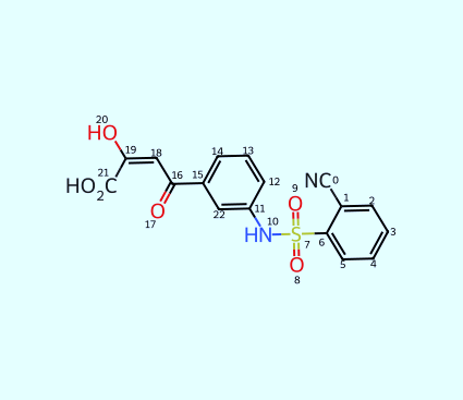 N#Cc1ccccc1S(=O)(=O)Nc1cccc(C(=O)/C=C(/O)C(=O)O)c1